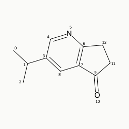 CC(C)c1cnc2c(c1)C(=O)CC2